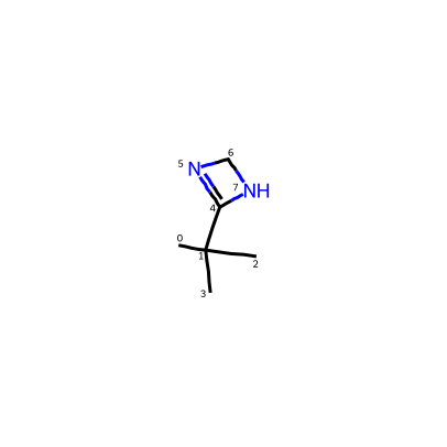 CC(C)(C)C1=NCN1